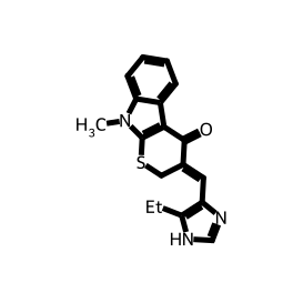 CCc1[nH]cnc1C=C1CSc2c(c3ccccc3n2C)C1=O